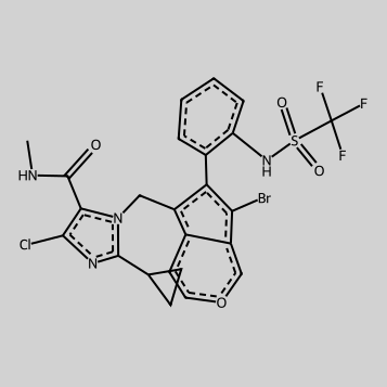 CNC(=O)c1c(Cl)nc(C2CC2)n1Cc1c2ccocc-2c(Br)c1-c1ccccc1NS(=O)(=O)C(F)(F)F